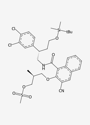 C[C@@H](COc1c(C#N)cc2ccccc2c1C(=O)NC[C@@H](CCO[Si](C)(C)C(C)(C)C)c1ccc(Cl)c(Cl)c1)COS(C)(=O)=O